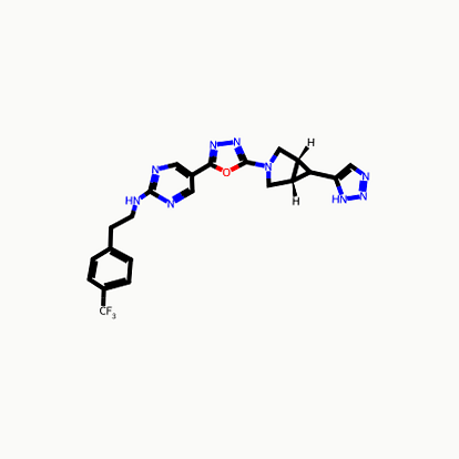 FC(F)(F)c1ccc(CCNc2ncc(-c3nnc(N4C[C@@H]5C(c6cnn[nH]6)[C@@H]5C4)o3)cn2)cc1